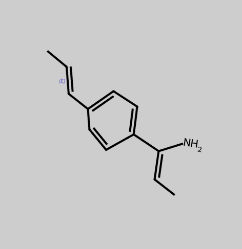 CC=C(N)c1ccc(/C=C/C)cc1